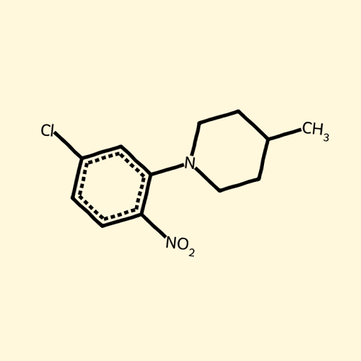 CC1CCN(c2cc(Cl)ccc2[N+](=O)[O-])CC1